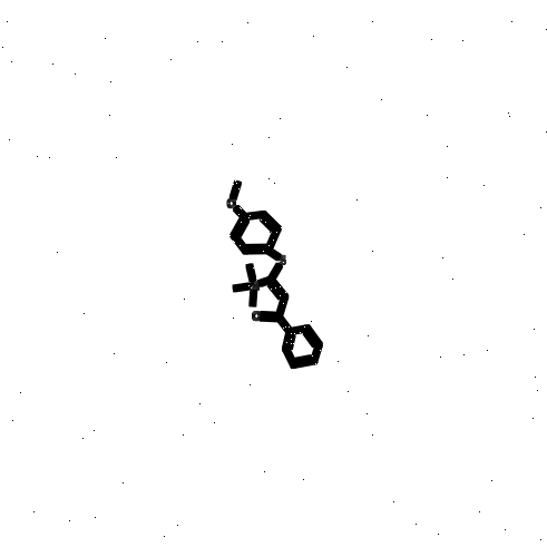 COc1ccc(S/C(=C/C(=O)c2ccccc2)[Si](C)(C)C)cc1